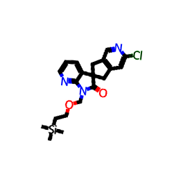 C[Si](C)(C)CCOCN1C(=O)C2(Cc3cnc(Cl)cc3C2)c2cccnc21